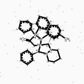 C=C1C[PH]2([C@H](c3ccccc3)N3CCCCN3[C@H]2c2ccccc2)N(CCCC)[PH]1(c1ccccc1)c1ccccc1